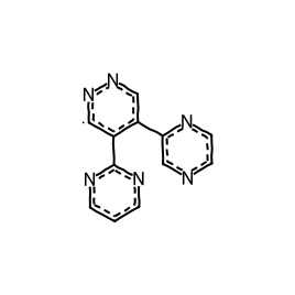 [c]1nncc(-c2cnccn2)c1-c1ncccn1